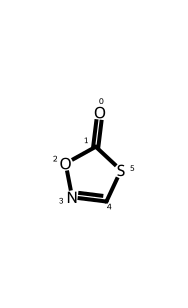 O=c1oncs1